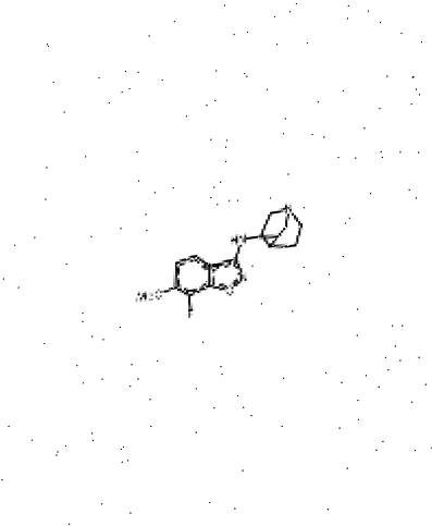 COc1ccc2c(NC3CN4CCC3CC4)noc2c1F